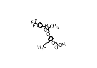 CCCc1cc(OCC2OC(c3ccc(C(F)(F)F)cc3)=NC2C)ccc1OCC(=O)O